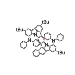 CC(C)(C)c1cc(N(c2ccccc2)c2ccccc2)c2c(c1)c1cc(C(C)(C)C)cc3c4cc5c(cc4n2c31)c1c2ccccc2cc2c3cc(C(C)(C)C)cc(N(c4ccccc4)c4ccccc4)c3n5c21